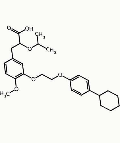 COc1ccc(CC(OC(C)C)C(=O)O)cc1OCCOc1ccc(C2CCCCC2)cc1